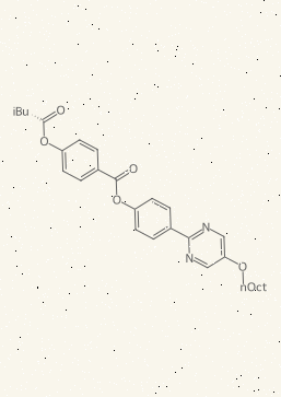 CCCCCCCCOc1cnc(-c2ccc(OC(=O)c3ccc(OC(=O)[C@@H](C)CC)cc3)cc2)nc1